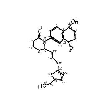 CCC1CCC(O)c2ccc(N3C(=O)CCCC3CCCc3ncc(CO)s3)cc21